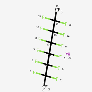 FC(F)(F)C(F)(F)C(F)(F)C(F)(F)C(F)(F)C(F)(F)C(F)(F)C(F)(F)F.I